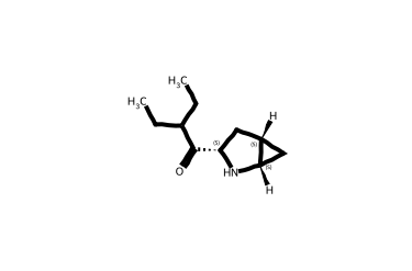 CCC(CC)C(=O)[C@@H]1C[C@@H]2C[C@@H]2N1